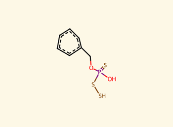 OP(=S)(OCc1ccccc1)SS